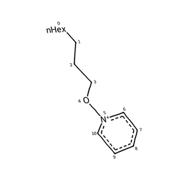 CCCCCCCCCO[n+]1ccccc1